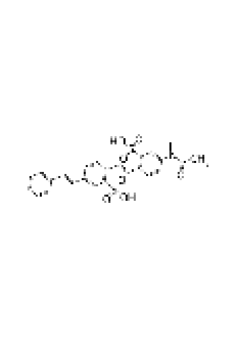 CC(=O)Nc1ccc(C=Cc2ccc(C=Cc3ccccc3)cc2S(=O)(=O)O)c(S(=O)(=O)O)c1